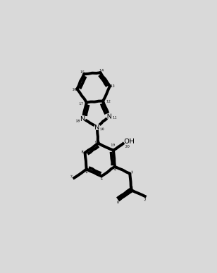 C=C(C)Cc1cc(C)cc(-n2nc3ccccc3n2)c1O